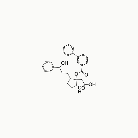 O=C(O)CC1(OC(=O)c2cccc(-c3ccccc3)c2)C(O)CCC1CCC(O)c1ccccc1